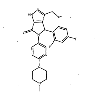 CC(C)Cc1n[nH]c2c1C(c1ccc(F)cc1F)N(c1ccc(N3CCN(C)CC3)nc1)C2=O